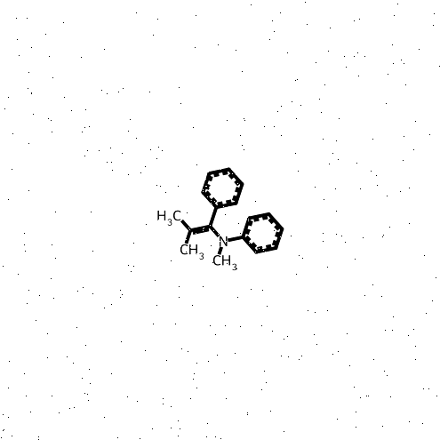 CC(C)=C(c1ccccc1)N(C)c1ccccc1